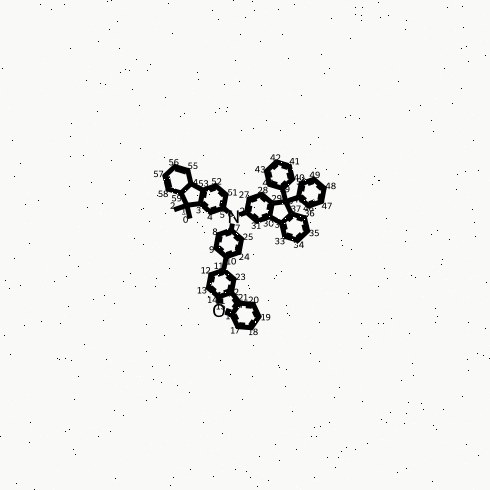 CC1(C)c2cc(N(c3ccc(-c4ccc5oc6ccccc6c5c4)cc3)c3ccc4c(c3)-c3ccccc3C4(c3ccccc3)c3ccccc3)ccc2C2C=CC=CC21